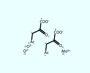 CC(=O)CC(=O)C(=O)[O-].CC(=O)CC(=O)C(=O)[O-].[Mo+6].[O-2].[O-2]